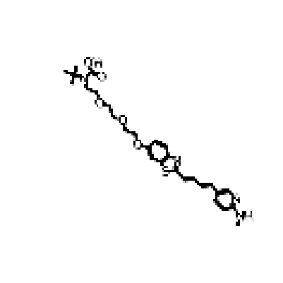 CNc1ccc(/C=C/C=C/c2nc3ccc(OCCOCCOCCN(C(=O)O)C(C)(C)C)cc3s2)cn1